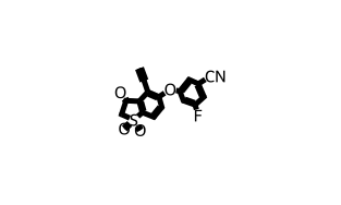 C#Cc1c(Oc2cc(F)cc(C#N)c2)ccc2c1C(=O)CS2(=O)=O